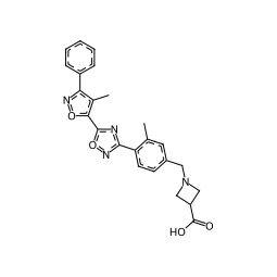 Cc1cc(CN2CC(C(=O)O)C2)ccc1-c1noc(-c2onc(-c3ccccc3)c2C)n1